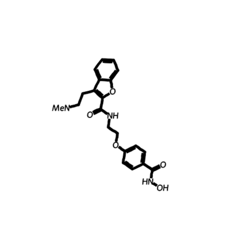 CNCCc1c(C(=O)NCCOc2ccc(C(=O)NO)cc2)oc2ccccc12